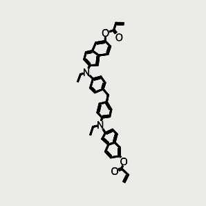 C=CC(=O)Oc1ccc2cc(N(CC)c3ccc(Cc4ccc(N(CC)c5ccc6cc(OC(=O)C=C)ccc6c5)cc4)cc3)ccc2c1